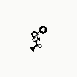 O=C(c1nc2n(n1)[C@H](c1ccccc1)CC2)C1CC1